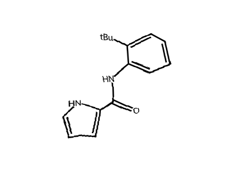 CC(C)(C)c1ccccc1NC(=O)c1ccc[nH]1